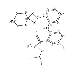 CC(C)N(CC(F)F)C(=O)c1cc(F)ccc1Oc1cncnc1C1CC2(CCNCC2)C1